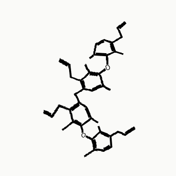 C=CCc1ccc(C)c(Oc2c(C)cc(Cc3cc(C)c(Oc4c(C)ccc(CC=C)c4C)c(C)c3CC=C)c(CC=C)c2C)c1C